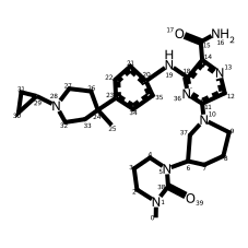 CN1CCCN(C2CCCN(c3cnc(C(N)=O)c(Nc4ccc(C5(C)CCN(C6CC6)CC5)cc4)n3)C2)C1=O